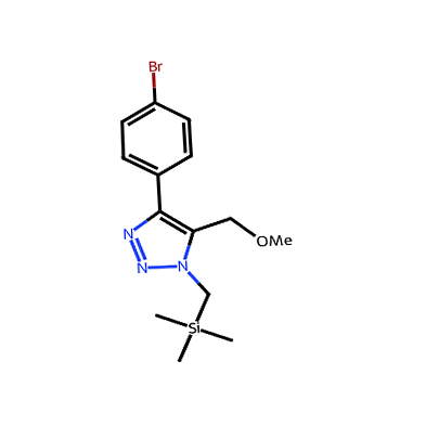 COCc1c(-c2ccc(Br)cc2)nnn1C[Si](C)(C)C